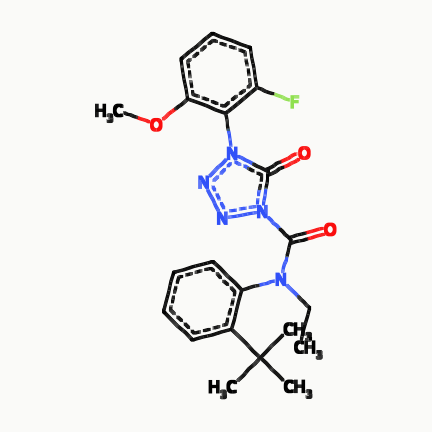 CCN(C(=O)n1nnn(-c2c(F)cccc2OC)c1=O)c1ccccc1C(C)(C)C